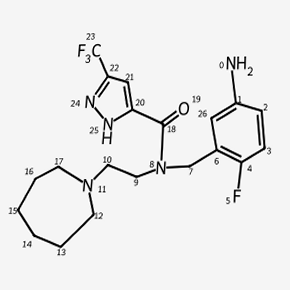 Nc1ccc(F)c(CN(CCN2CCCCCC2)C(=O)c2cc(C(F)(F)F)n[nH]2)c1